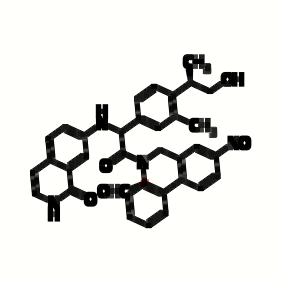 Cc1cc(C(Nc2ccc3cc[nH]c(=O)c3c2)C(=O)N(CC=O)Cc2cc(N=O)ccc2-c2ccccc2)ccc1[C@@H](C)CO